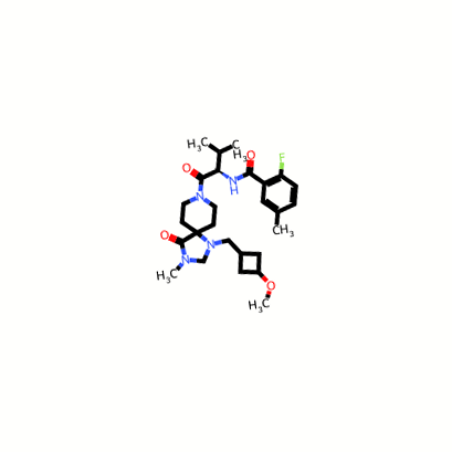 COC1CC(CN2CN(C)C(=O)C23CCN(C(=O)[C@H](NC(=O)c2cc(C)ccc2F)C(C)C)CC3)C1